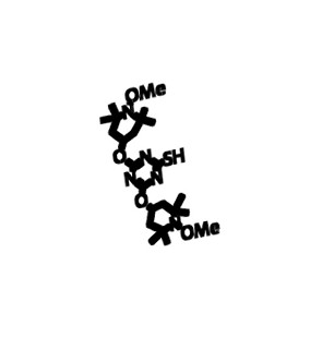 CON1C(C)(C)CC(Oc2nc(S)nc(OC3CC(C)(C)N(OC)C(C)(C)C3)n2)CC1(C)C